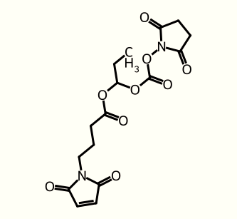 CCC(OC(=O)CCCN1C(=O)C=CC1=O)OC(=O)ON1C(=O)CCC1=O